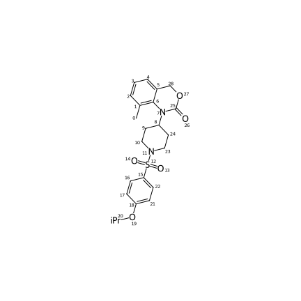 Cc1cccc2c1N(C1CCN(S(=O)(=O)c3ccc(OC(C)C)cc3)CC1)C(=O)OC2